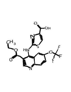 CCOC(=O)c1cnc2ccc(OC(F)(F)F)cc2c1Nc1nc(C(=O)O)cs1